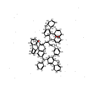 C=C/C(=C\C1=C(C)C2(c3ccc(N(c4ccccc4)c4cc(-c5ccccc5)c5oc6ccccc6c5c4)cc3S1)c1ccccc1-c1ccccc12)N(c1ccccc1)c1ccc2sc3ccccc3c2c1-c1ccccc1